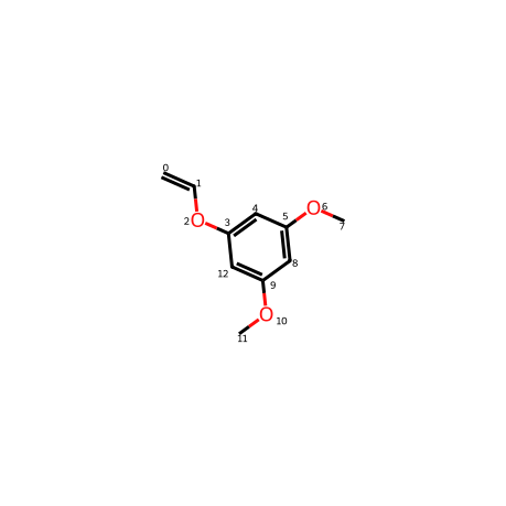 C=COc1cc(OC)cc(OC)c1